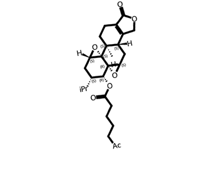 CC(=O)CCCCC(=O)O[C@@H]1[C@H](C(C)C)C[C@@H]2O[C@]23[C@]12O[C@H]2C[C@H]1C2=C(CC[C@@]13C)C(=O)OC2